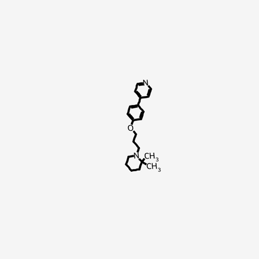 CC1(C)CCCCN1CCCOc1ccc(-c2ccncc2)cc1